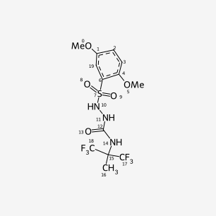 COc1ccc(OC)c(S(=O)(=O)NNC(=O)NC(C)(C(F)(F)F)C(F)(F)F)c1